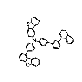 c1cc(-c2ccc(N(c3ccc(-c4cccc5oc6ccccc6c45)cc3)c3ccc4sc5ccccc5c4c3)cc2)cc(-c2cccc3ccccc23)c1